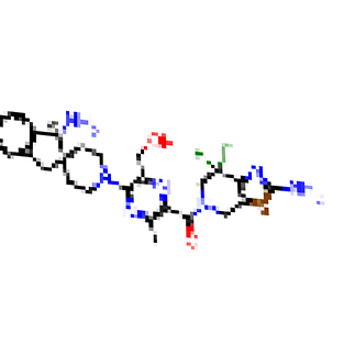 Cc1nc(N2CCC3(CC2)Cc2ccccc2[C@H]3N)c(CO)nc1C(=O)N1Cc2sc(N)nc2C(F)(F)C1